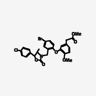 COC(=O)Cc1ccc(OC)c(Oc2ccc(Br)cc2CN2C(=O)OC(c3ccc(Cl)cc3)C2C)c1